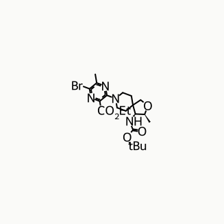 CCOC(=O)c1nc(Br)c(C)nc1N1CCC2(CC1)CO[C@@H](C)[C@H]2NC(=O)OC(C)(C)C